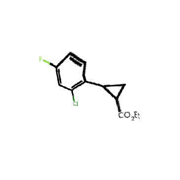 CCOC(=O)C1CC1c1ccc(F)cc1Cl